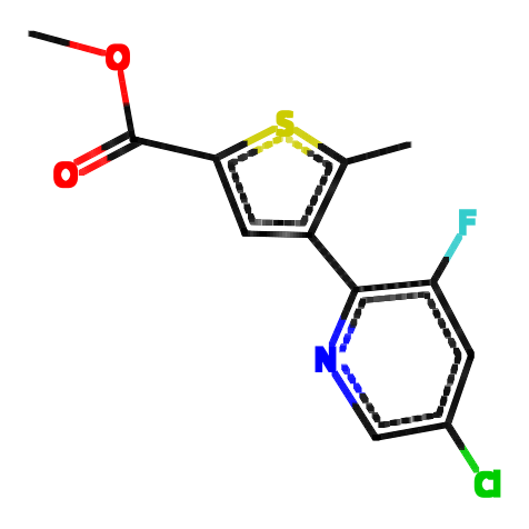 COC(=O)c1cc(-c2ncc(Cl)cc2F)c(C)s1